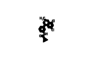 CN1Cc2c(Cl)cc(Cl)cc2C(c2cccc(NC(=O)C3CC3)c2)C1